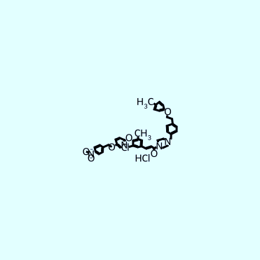 Cc1ccc(OCCc2ccc(CN3CCN(C(=O)C=Cc4cc(C)c(Oc5ccc(OCc6ccc([N+](=O)[O-])cc6)cn5)c(Cl)c4)CC3)cc2)cc1.Cl